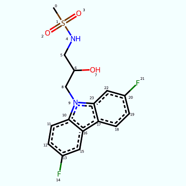 CS(=O)(=O)NCC(O)Cn1c2ccc(F)cc2c2ccc(F)cc21